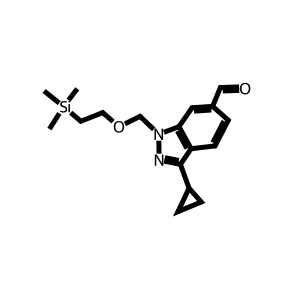 C[Si](C)(C)CCOCn1nc(C2CC2)c2ccc(C=O)cc21